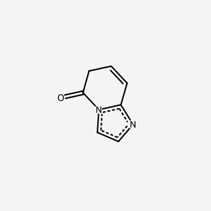 O=C1CC=Cc2nccn21